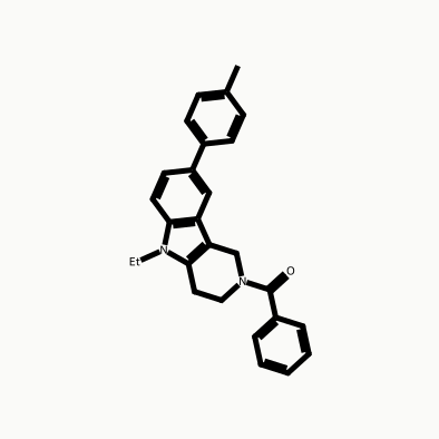 CCn1c2c(c3cc(-c4ccc(C)cc4)ccc31)CN(C(=O)c1ccccc1)CC2